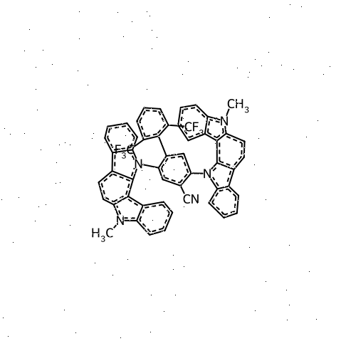 Cn1c2ccccc2c2c1ccc1c3ccccc3n(-c3cc(-c4c(C(F)(F)F)cccc4C(F)(F)F)c(-n4c5ccccc5c5ccc6c(c7ccccc7n6C)c54)cc3C#N)c12